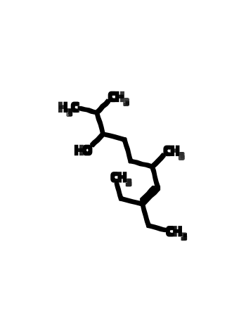 CCC(=CC(C)CCC(O)C(C)C)CC